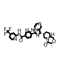 C[C@H]1OC[C@@H]2CC[C@@H](C3=C4C=NC=C[N+]4(N)C(c4ccc(C(=O)Nc5cc(C(F)(F)F)ccn5)cc4)=N3)CN2C1=O